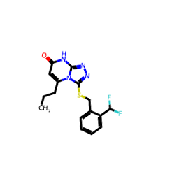 CCCc1cc(=O)[nH]c2nnc(SCc3ccccc3C(F)F)n12